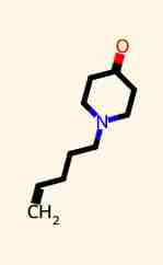 C=CCCCN1CCC(=O)CC1